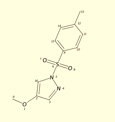 COc1cnn(S(=O)(=O)c2ccc(C)cc2)c1